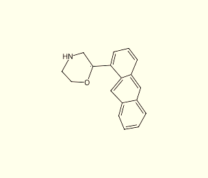 c1ccc2cc3c([C]4CNCCO4)cccc3cc2c1